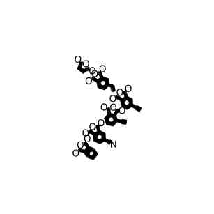 C#Cc1ccc2c(c1)C(=O)OC2=O.C#Cc1cccc2c1C(=O)OC2=O.C=Cc1ccc2c(c1)C(=O)OC2=O.N#Cc1ccc2c(c1)C(=O)OC2=O.O=C1C=CC(=O)O1.O=C1OC(=O)C2C3C=CC(C3)C12